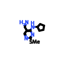 CSc1ncc(CN)c(NC2CCCC2)n1